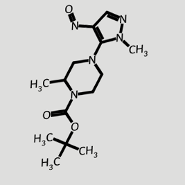 CC1CN(c2c(N=O)cnn2C)CCN1C(=O)OC(C)(C)C